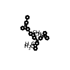 CC1(C)c2ccccc2-c2ccc(N(c3ccc(-n4c5ccccc5c5ccccc54)cc3)c3ccc4c(c3)C(C)(C)c3cc(-c5ccc6c(c5)c5ccccc5n6-c5ccc(-c6ccccc6)cc5)ccc3-4)cc21